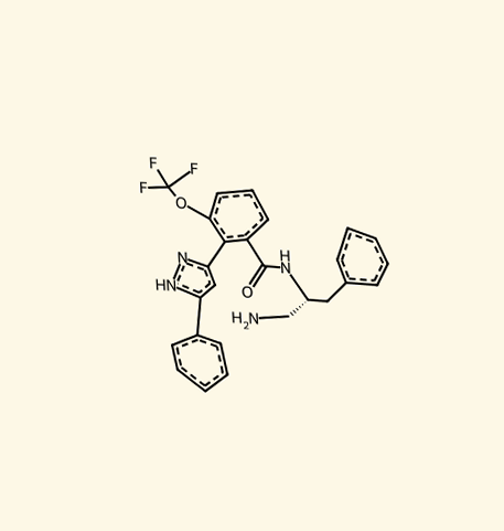 NC[C@@H](Cc1ccccc1)NC(=O)c1cccc(OC(F)(F)F)c1-c1cc(-c2ccccc2)[nH]n1